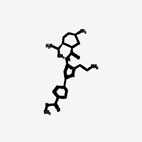 COC(=O)c1ccc(-c2cc(NC(=O)[C@@H]3C[C@H](C)CC[C@H]3C(C)C)n(CCN)n2)cc1